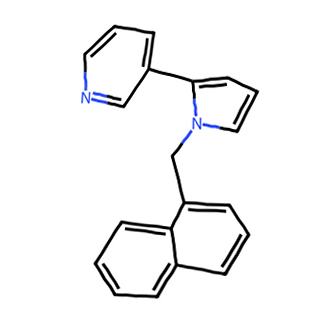 c1cncc(-c2cccn2Cc2cccc3ccccc23)c1